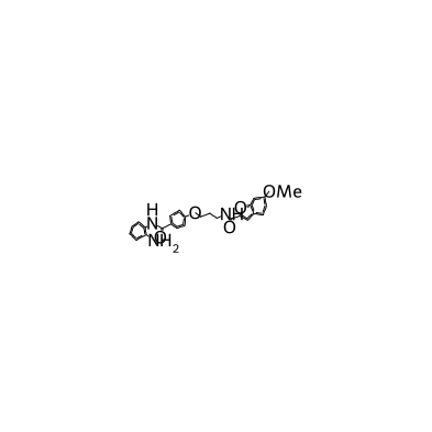 COc1ccc2cc(C(=O)NCCCOc3ccc(C(=O)Nc4ccccc4N)cc3)oc2c1